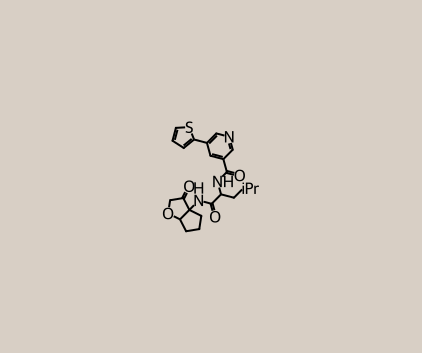 CC(C)CC(NC(=O)c1cncc(-c2cccs2)c1)C(=O)NC12CCCC1OCC2=O